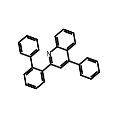 c1ccc(-c2ccccc2-c2cc(-c3ccccc3)c3ccccc3n2)cc1